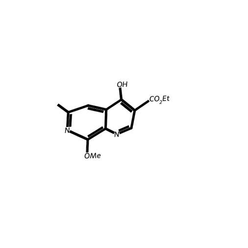 CCOC(=O)c1cnc2c(OC)nc(C)cc2c1O